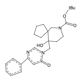 CC(C)(C)OC(=O)N1CCC(O)(Cn2cnc(-c3ccccc3)cc2=O)C2(CCCC2)C1